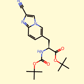 CC(C)(C)OC(=O)N[C@@H](Cc1ccc2nc(C#N)cn2c1)C(=O)OC(C)(C)C